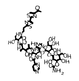 CC(=O)c1csc(-c2csc(CCNC(=O)C(NC(=O)C(C)C(O)C(C)NC(=O)C(NC(=O)c3ccncn3)C(OC3OC(CO)C(O)C(O)C3OC3OC(CO)C(O)C(OC(N)=O)C3O)c3c[nH]cn3)C(C)O)n2)n1